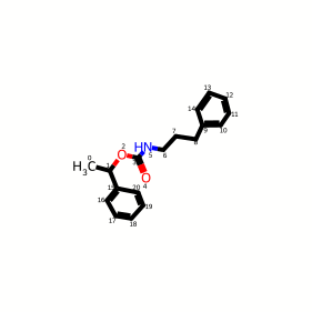 CC(OC(=O)NCCCc1ccccc1)c1ccccc1